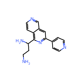 NCCC(N)c1nc(-c2ccncc2)cc2cnccc12